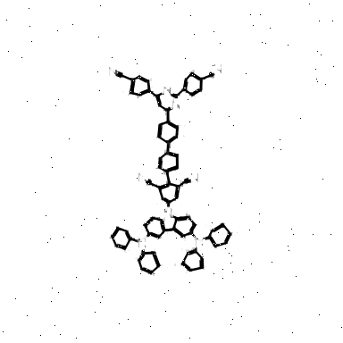 N#Cc1ccc(-c2cc(-c3ccc(-c4ccc(-c5c(C#N)cc(-n6c7ccc(N(c8ccccc8)c8ccccc8)cc7c7cc(N(c8ccccc8)c8ccccc8)ccc76)cc5C#N)cc4)cc3)nc(-c3ccc(C#N)cc3)n2)cc1